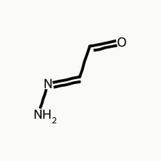 NN=CC=O